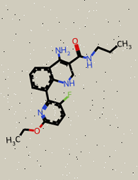 CCCNC(=O)C1=C(N)c2cccc(-c3nc(OCC)ccc3F)c2NC1